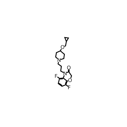 O=C1COc2c(F)ccc(F)c2N1CCCN1CCC(OCC2CC2)CC1